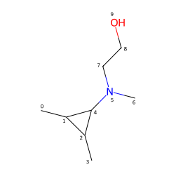 CC1C(C)C1N(C)CCO